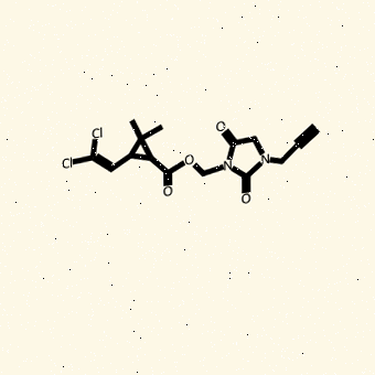 C#CCN1CC(=O)N(COC(=O)C2C(C=C(Cl)Cl)C2(C)C)C1=O